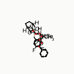 CN(CCS(=O)(=O)N1[C@@H]2CC[C@H]1C[C@H]([C@@H](Cc1cc(F)c(F)cc1F)N[S@@+]([O-])C(C)(C)C)C2)C(=O)OCc1ccccc1